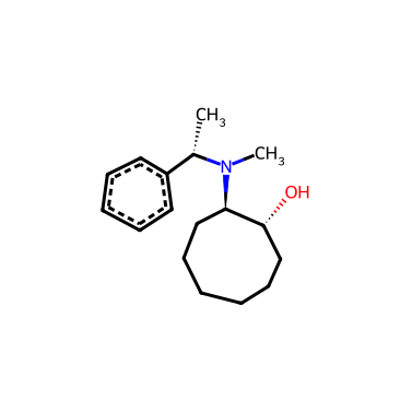 C[C@@H](c1ccccc1)N(C)[C@@H]1CCCCCC[C@H]1O